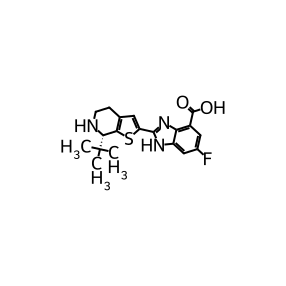 CC(C)(C)[C@@H]1NCCc2cc(-c3nc4c(C(=O)O)cc(F)cc4[nH]3)sc21